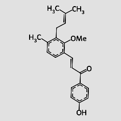 COc1c(/C=C/C(=O)c2ccc(O)cc2)ccc(C)c1CC=C(C)C